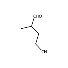 CC(C=O)CCC#N